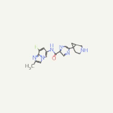 Cc1cn2cc(NC(=O)c3cnc(C45CCNCC4C5)cn3)cc(F)c2n1